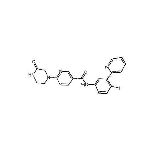 O=C1CN(c2ccc(C(=O)Nc3ccc(I)c(-c4ccccn4)c3)cn2)CCN1